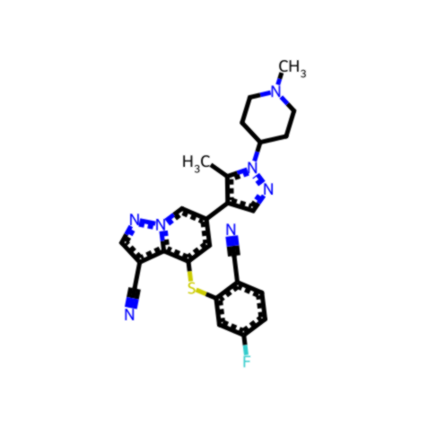 Cc1c(-c2cc(Sc3cc(F)ccc3C#N)c3c(C#N)cnn3c2)cnn1C1CCN(C)CC1